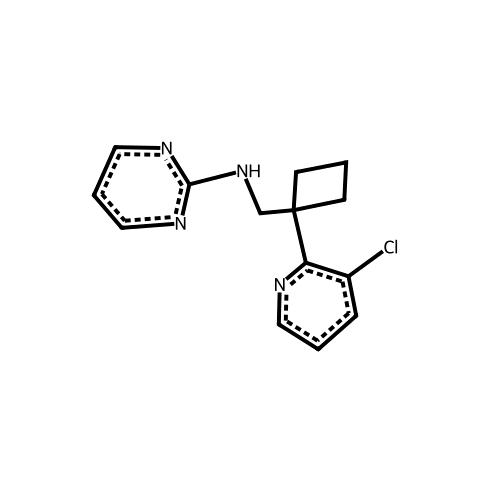 Clc1cccnc1C1(CNc2ncccn2)CCC1